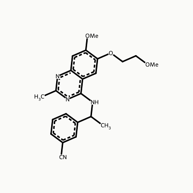 COCCOc1cc2c(NC(C)c3cccc(C#N)c3)nc(C)nc2cc1OC